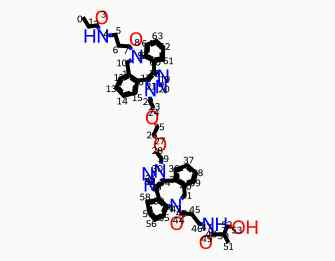 CCC(=O)NCCC(=O)N1Cc2ccccc2-c2c(nnn2CCOCCOCCn2nnc3c2-c2ccccc2CN(C(=O)CCNC(=O)C(C)CO)c2ccccc2-3)-c2ccccc21